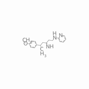 COc1ccc(C(C)CC(=N)CCNc2ccccn2)cc1